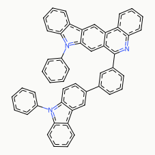 c1ccc(-n2c3ccccc3c3cc(-c4cccc(-c5nc6ccccc6c6cc7c8ccccc8n(-c8ccccc8)c7cc56)c4)ccc32)cc1